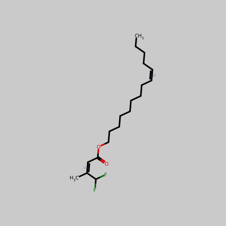 CCCC/C=C\CCCCCCCCOC(=O)/C=C(/C)C(F)F